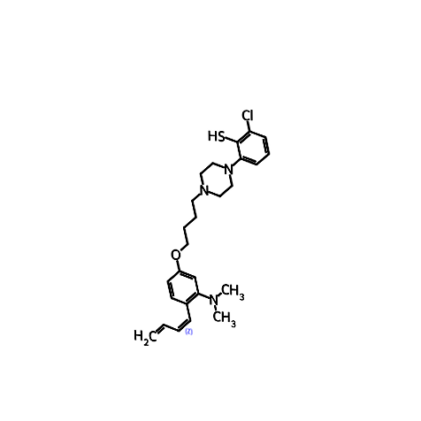 C=C/C=C\c1ccc(OCCCCN2CCN(c3cccc(Cl)c3S)CC2)cc1N(C)C